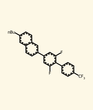 CCCCc1ccc2cc(-c3cc(F)c(-c4ccc(C(F)(F)F)cc4)c(F)c3)ccc2c1